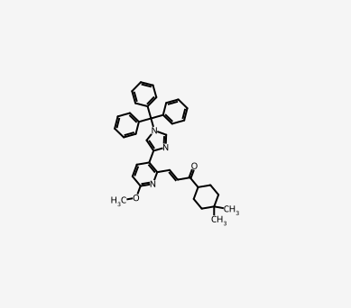 COc1ccc(-c2cn(C(c3ccccc3)(c3ccccc3)c3ccccc3)cn2)c(/C=C/C(=O)C2CCC(C)(C)CC2)n1